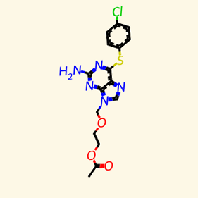 CC(=O)OCCOCn1cnc2c(Sc3ccc(Cl)cc3)nc(N)nc21